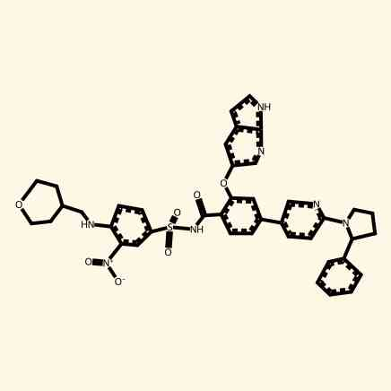 O=C(NS(=O)(=O)c1ccc(NCC2CCOCC2)c([N+](=O)[O-])c1)c1ccc(-c2ccc(N3CCCC3c3ccccc3)nc2)cc1Oc1cnc2[nH]ccc2c1